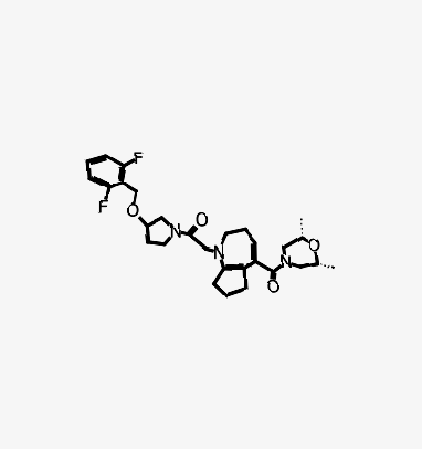 C[C@@H]1CN(C(=O)C2=CCCN(CC(=O)N3CCC(OCc4c(F)cccc4F)C3)C3=C2CCC3)C[C@H](C)O1